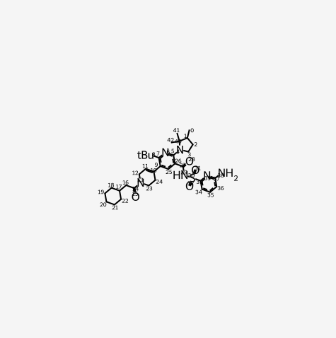 CC1CCN(c2nc(C(C)(C)C)c(C3=CCN(C(=O)CC4CCCCC4)CC3)cc2C(=O)NS(=O)(=O)c2cccc(N)n2)C1(C)C